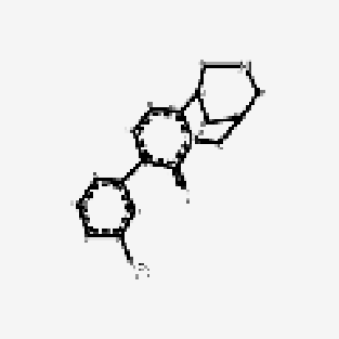 O=c1c(-c2cccc([N+](=O)[O-])c2)ccc2n1CC1CNCC2C1